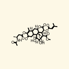 COC(=O)C1[C@H]2OC[C@]34C([C@@H](O)[C@@H]2O)[C@@]2(C)CC(=O)C(OC(=O)C[C@H](C)NC(C)=O)=C(C)[C@@H]2C[C@H]3OC(=O)[C@H](OC(=O)C=C(C)C)[C@@H]14